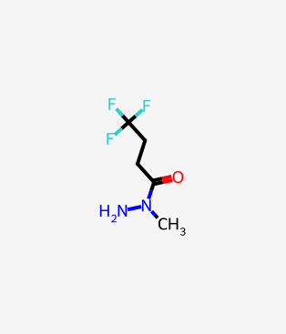 CN(N)C(=O)CCC(F)(F)F